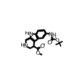 COC(=O)C1CNCc2[nH]c3ccc(NC(=O)OC(C)(C)C)cc3c21